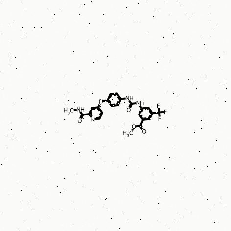 CNC(=O)c1cc(Oc2ccc(NC(=O)Nc3cc(C(=O)OC)cc(C(F)(F)F)c3)cc2)ccn1